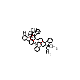 CCC1(CC)c2ccccc2-c2ccc(N(c3ccccc3-c3ccc4c(c3)C(C)(C)c3ccccc3-4)c3ccccc3-c3cccc4c3-c3ccccc3C4(C)C)cc21